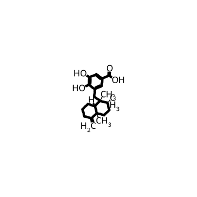 C=C1CCC[C@@H]2[C@@](C)(Cc3cc(C(=O)O)cc(O)c3O)[C@H](C)CC[C@@]12C